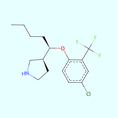 CCCC[C@@H](Oc1ccc(Cl)cc1C(F)(F)F)[C@H]1CCNC1